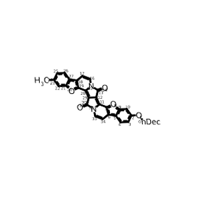 CCCCCCCCCCOc1ccc2c3c(oc2c1)C1=C2C(=O)N4C=Cc5c(oc6cc(C)ccc56)C4=C2C(=O)N1C=C3